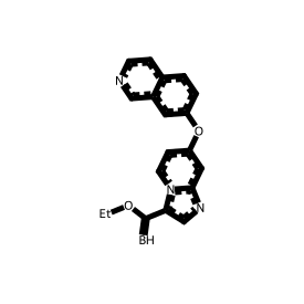 B=C(OCC)c1cnc2cc(Oc3ccc4ccncc4c3)ccn12